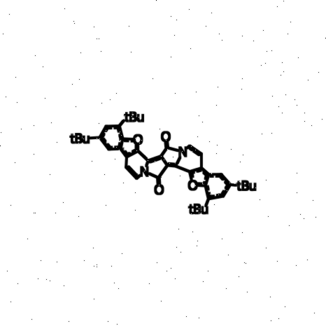 CC(C)(C)c1cc(C(C)(C)C)c2oc3c(c2c1)C=CN1C(=O)C2=C4c5oc6c(C(C)(C)C)cc(C(C)(C)C)cc6c5C=CN4C(=O)C2=C31